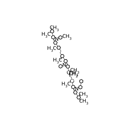 C=C(/C=C\C(=C(C)C)c1ccc2c3ccc(-c4ccc(CCc5ccc(-c6ccc7c8ccc(-c9ccc(C)cc9C)cc8n(-c8ccc(C)cc8)c7c6)c(C)c5)cc4C)cc3n(-c3ccccc3)c2c1)CCC1C=C(C)C(c2ccc3c4ccc(-c5ccc(C)cc5C)cc4n(-c4cccc(-c5ccccc5)c4)c3c2)=CC1